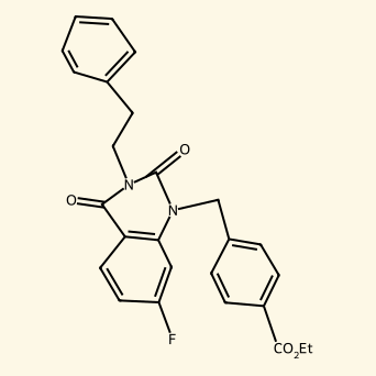 CCOC(=O)c1ccc(Cn2c(=O)n(CCc3ccccc3)c(=O)c3ccc(F)cc32)cc1